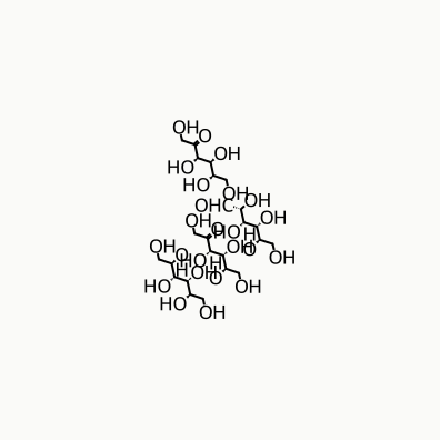 O=C(CO)[C@@H](O)[C@H](O)[C@H](O)CO.O=C(CO)[C@H](O)[C@@H](O)[C@H](O)CO.O=C[C@H](O)[C@@H](O)[C@H](O)[C@H](O)CO.OC[C@@H](O)[C@@H](O)[C@H](O)[C@H](O)CO